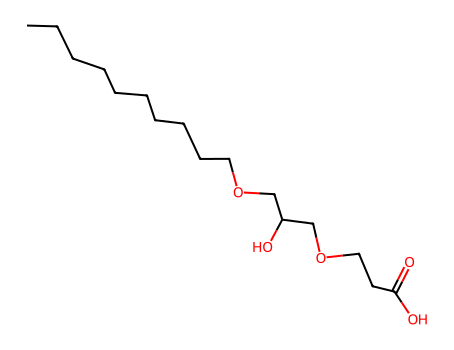 CCCCCCCCCCOCC(O)COCCC(=O)O